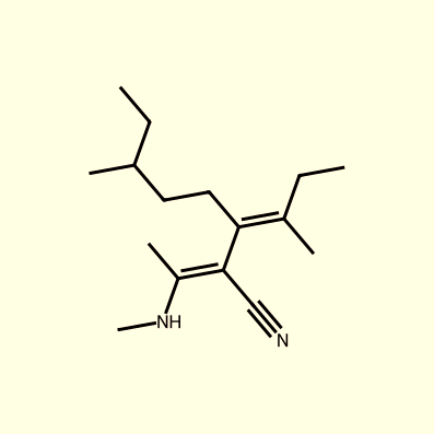 CC/C(C)=C(CCC(C)CC)/C(C#N)=C(\C)NC